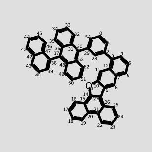 c1cc(-c2cccc3cc4c(cc23)oc2c3ccccc3c3ccccc3c42)cc(-c2c3ccccc3c(-c3cccc4ccccc34)c3ccccc23)c1